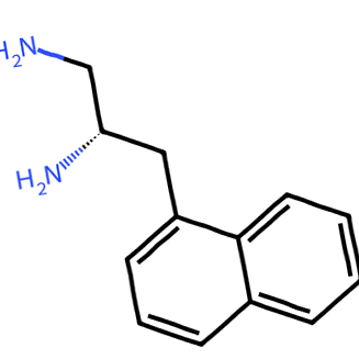 NC[C@@H](N)Cc1cccc2ccccc12